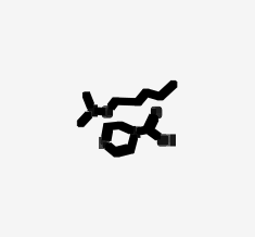 CCCCCON(C)C.O=C(O)N1C=CN=CC1